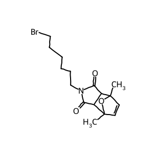 CC12C=CC(C)(O1)C1C(=O)N(CCCCCCBr)C(=O)C12